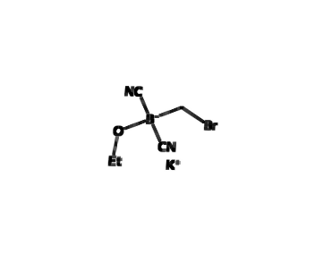 CCO[B-](C#N)(C#N)CBr.[K+]